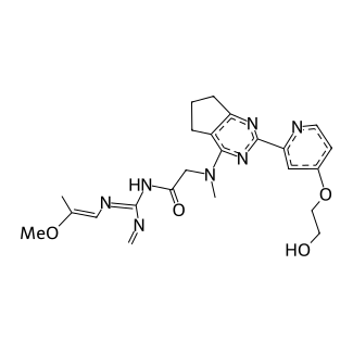 C=N/C(=N\C=C(/C)OC)NC(=O)CN(C)c1nc(-c2cc(OCCO)ccn2)nc2c1CCC2